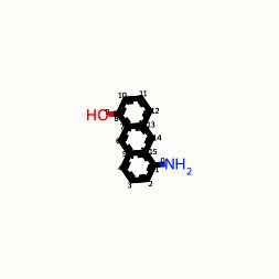 Nc1cccc2cc3c(O)cccc3cc12